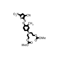 COC(=O)OCCN(CCOC(=O)OC)c1ccc(N=Nc2sc([N+](=O)[O-])cc2C#N)c(C)c1